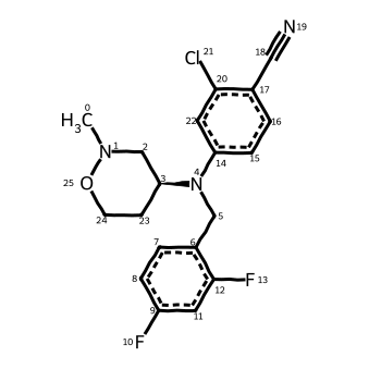 CN1C[C@@H](N(Cc2ccc(F)cc2F)c2ccc(C#N)c(Cl)c2)CCO1